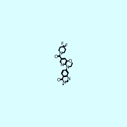 Cn1cnc2cc(N3CCOc4cc(C(=O)N5CCC(F)(F)CC5)cnc43)ccc2c1=O